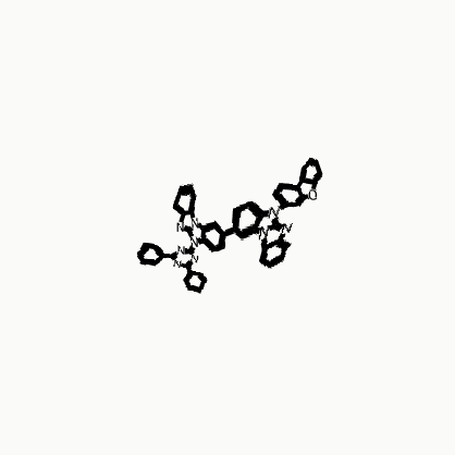 c1ccc(-c2nc(-c3ccccc3)nc(-n3c4ccc(-c5ccc6c(c5)n5c7ccccc7nc5n6-c5ccc6c(c5)oc5ccccc56)cc4n4c5ccccc5nc34)n2)cc1